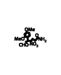 COc1ccc(C(C[C]=O)C(CCC(N)=O)[N+](=O)[O-])c(OC)c1